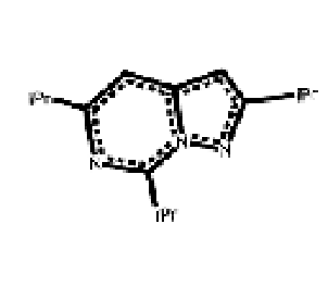 CC(C)c1cc2cc(C(C)C)nn2c(C(C)C)n1